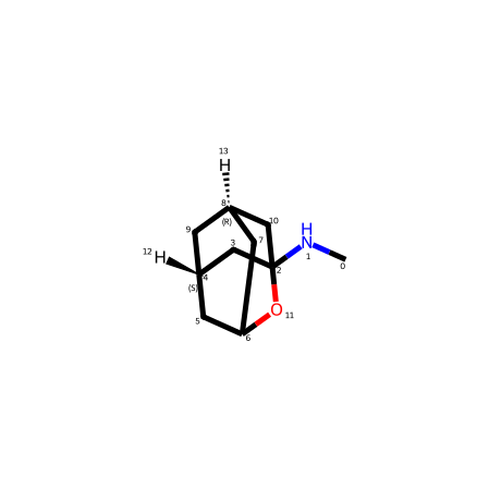 CNC12C[C@@H]3CC(C[C@@H](C3)C1)O2